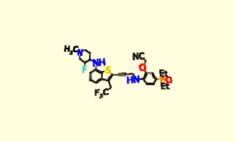 CCP(=O)(CC)c1ccc(NCC#Cc2sc3c(NC4CCN(C)CC4F)cccc3c2CC(F)(F)F)c(OCC#N)c1